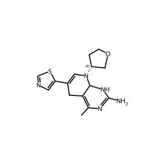 CC1=C2CC(c3cncs3)=CN([C@@H]3CCOC3)C2NC(N)=N1